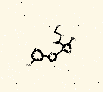 CC(C)CNC(=O)c1c(-c2ccc(-c3cccc(C(F)(F)F)c3)o2)noc1N